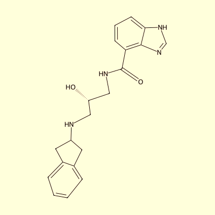 O=C(NC[C@@H](O)CNC1Cc2ccccc2C1)c1cccc2[nH]cnc12